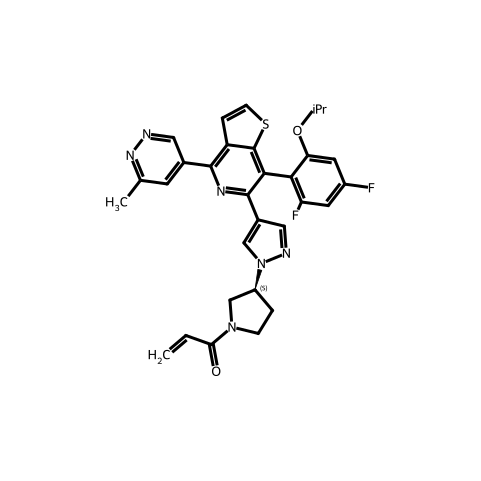 C=CC(=O)N1CC[C@H](n2cc(-c3nc(-c4cnnc(C)c4)c4ccsc4c3-c3c(F)cc(F)cc3OC(C)C)cn2)C1